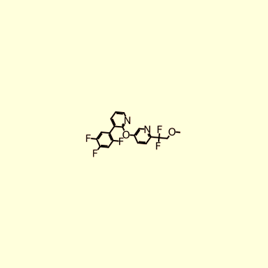 COCC(F)(F)c1ccc(Oc2ncccc2-c2cc(F)c(F)cc2F)cn1